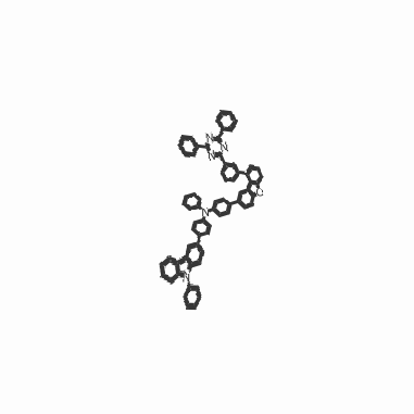 c1ccc(-c2nc(-c3ccccc3)nc(-c3cccc(-c4cccc5oc6ccc(-c7ccc(N(c8ccccc8)c8ccc(-c9ccc%10c(c9)c9ccccc9n%10-c9ccccc9)cc8)cc7)cc6c45)c3)n2)cc1